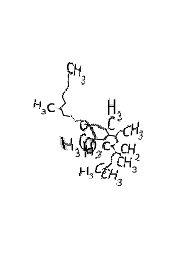 C=C(C)/C(=C\C=C(C)C)C(=C)/C=C(/CC)c1cc(OC)c(OCCCCC(C)CCCCC)cc1C